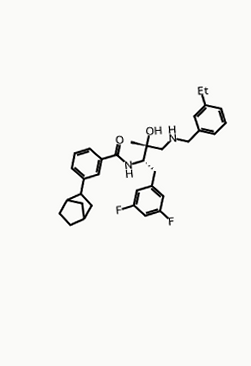 CCc1cccc(CNC[C@@](C)(O)[C@H](Cc2cc(F)cc(F)c2)NC(=O)c2cccc(C3CC4CCC3C4)c2)c1